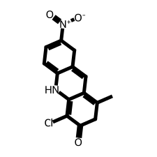 CC1=C2C=C3CC([N+](=O)[O-])=CC=C3NC2=C(Cl)C(=O)C1